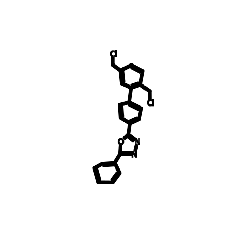 ClCc1ccc(CCl)c(-c2ccc(-c3nnc(-c4ccccc4)o3)cc2)c1